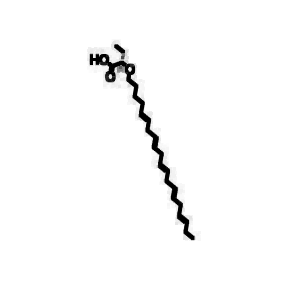 CCC=CCC=CCC=CCC=CCC=CCCCCO[C@@H](CC)C(=O)O